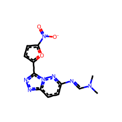 CN(C)C=Nc1ccc2nnc(-c3ccc([N+](=O)[O-])o3)n2n1